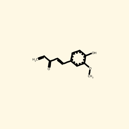 C=CC(=O)C=Cc1ccc(O)c(OC)c1